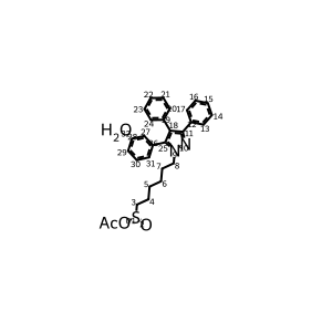 CC(=O)OS(=O)CCCCCCn1nc(-c2ccccc2)c(-c2ccccc2)c1-c1ccccc1.O